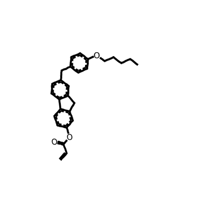 C=CC(=O)Oc1ccc2c(c1)Cc1cc(Cc3ccc(OCCCCC)cc3)ccc1-2